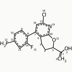 C=C(O)C1CCc2c(-c3ccc(P)cc3F)cc(Cl)nc2O1